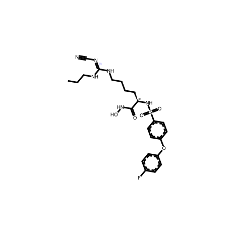 CCCN/C(=N\C#N)NCCCC[C@@H](NS(=O)(=O)c1ccc(Oc2ccc(F)cc2)cc1)C(=O)NO